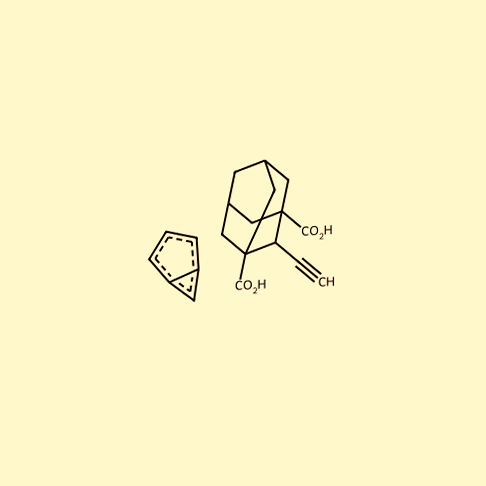 C#CC1C2(C(=O)O)CC3CC(C2)CC1(C(=O)O)C3.c1cc2cc-2c1